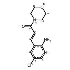 Nc1ncc(Cl)cc1C=CC(=O)N1CCOCC1